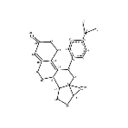 CN(C)c1ccc(C2CC34OC3CCC4C3CCC4=CC(=O)CCC4=C23)cc1